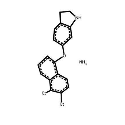 CCc1ccc2c(Oc3ccc4c(c3)NCC4)cccc2c1CC.N